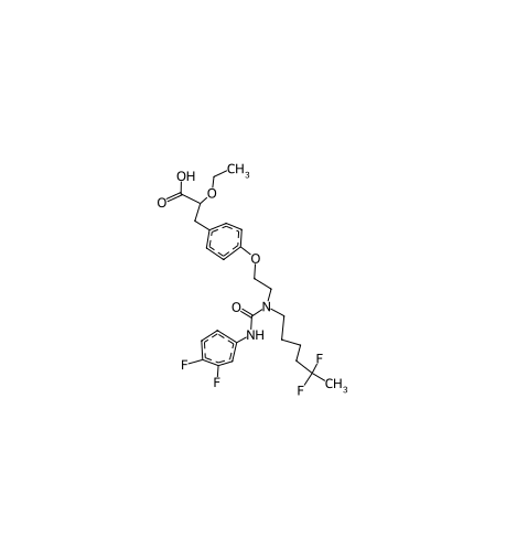 CCOC(Cc1ccc(OCCN(CCCCC(C)(F)F)C(=O)Nc2ccc(F)c(F)c2)cc1)C(=O)O